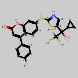 O=c1cc(-c2ccc(F)cc2)c2ccc(Sc3ncc(C(O)(C4CC4)C(F)(F)F)s3)cc2o1